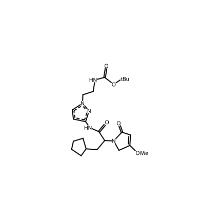 COC1=CC(=O)N(C(CC2CCCC2)C(=O)Nc2ccn(CCNC(=O)OC(C)(C)C)n2)C1